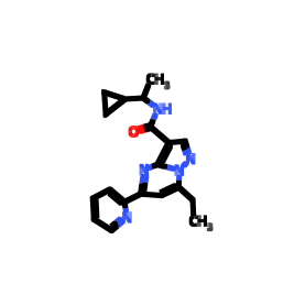 CCc1cc(-c2ccccn2)nc2c(C(=O)NC(C)C3CC3)cnn12